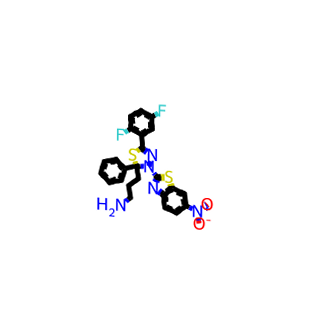 NCCCC1(c2ccccc2)SC(c2cc(F)ccc2F)=NN1c1nc2ccc([N+](=O)[O-])cc2s1